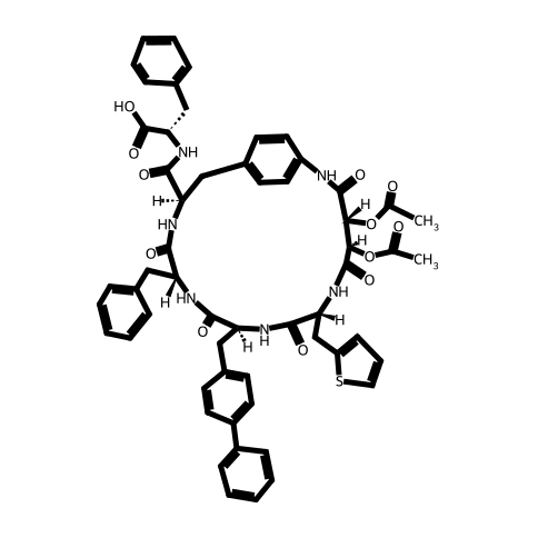 CC(=O)O[C@H]1C(=O)Nc2ccc(cc2)C[C@H](C(=O)N[C@@H](Cc2ccccc2)C(=O)O)NC(=O)[C@@H](Cc2ccccc2)NC(=O)[C@H](Cc2ccc(-c3ccccc3)cc2)NC(=O)[C@@H](Cc2cccs2)NC(=O)[C@@H]1OC(C)=O